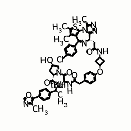 Cc1ncoc1-c1ccc([C@H](C)NC(=O)[C@@H]2C[C@@H](O)CN2C(=O)[C@@H](NC(=O)Cc2ccc(O[C@H]3C[C@H](NC(=O)C[C@@H]4N=C(c5ccc(Cl)cc5)c5c(sc(C)c5C)-n5c(C)nnc54)C3)cc2)C(C)(C)C)cc1